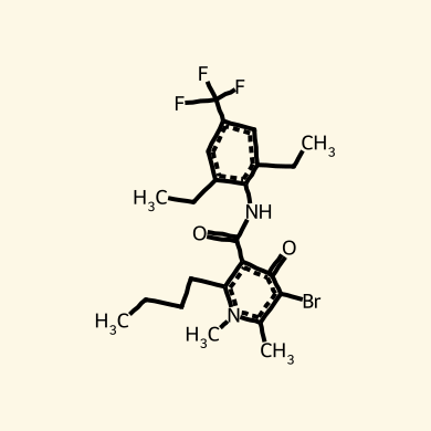 CCCCc1c(C(=O)Nc2c(CC)cc(C(F)(F)F)cc2CC)c(=O)c(Br)c(C)n1C